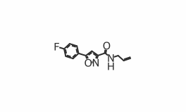 C=CCNC(=O)c1cc(-c2ccc(F)cc2)on1